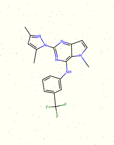 Cc1cc(C)n(-c2nc(Nc3cccc(C(F)(F)F)c3)c3c(ccn3C)n2)n1